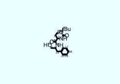 CC(C)CC(NC(=O)OC(C)(C)C)C(=O)NC(CO)Cc1ccccc1